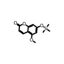 COc1cc(O[Si](C)(C)C)cc2oc(=O)ccc12